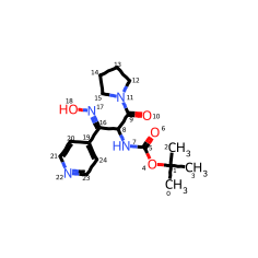 CC(C)(C)OC(=O)NC(C(=O)N1CCCC1)C(=NO)c1ccncc1